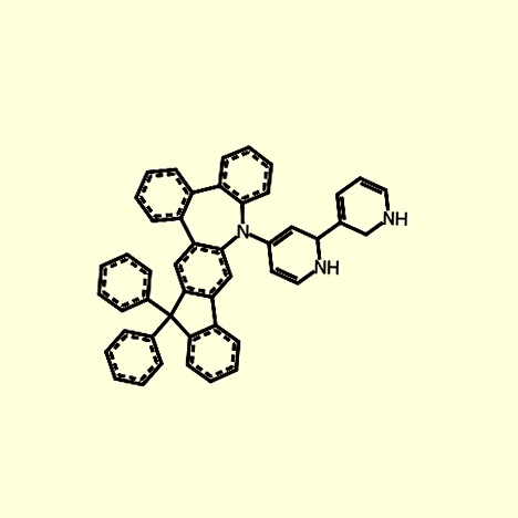 C1=CNCC(C2C=C(N3c4ccccc4-c4ccccc4-c4cc5c(cc43)-c3ccccc3C5(c3ccccc3)c3ccccc3)C=CN2)=C1